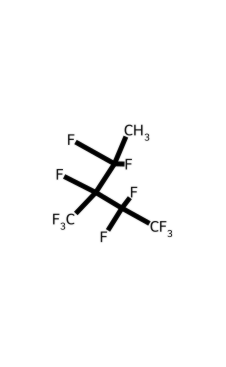 CC(F)(F)C(F)(C(F)(F)F)C(F)(F)C(F)(F)F